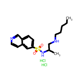 CCCCCNCC(C)NS(=O)(=O)c1ccc2cnccc2c1.Cl.Cl